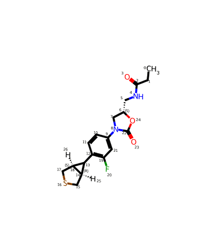 CCC(=O)NC[C@H]1CN(c2ccc(C3[C@H]4CSC[C@@H]34)c(F)c2)C(=O)O1